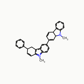 CN1c2ccccc2C2C=CC(c3ccc4c(c3)c3c(n4C)C=CC(c4ccccc4)C3)=CC21